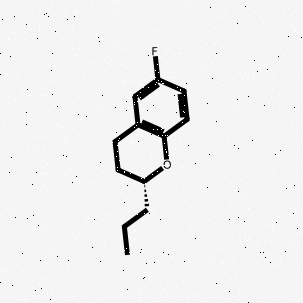 CCC[C@@H]1CCc2cc(F)ccc2O1